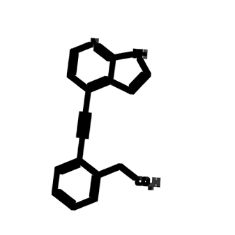 O=C(O)Cc1ccccc1C#Cc1ccnc2[nH]ccc12